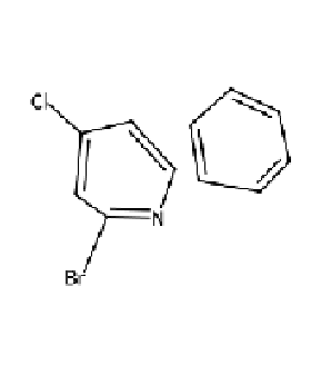 Clc1ccnc(Br)c1.c1ccccc1